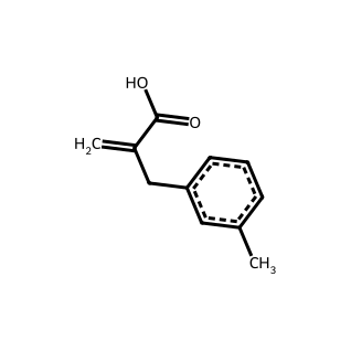 C=C(Cc1cccc(C)c1)C(=O)O